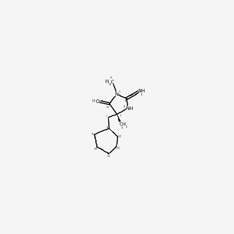 CN1C(=N)N[C@](C)(CC2CCCCC2)C1=O